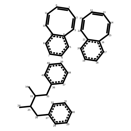 C1=C\C=C/c2ccccc2\C=C/1.C1=C\C=C/c2ccccc2\C=C/1.CC(Cc1ccccc1)C(C)Cc1ccccc1